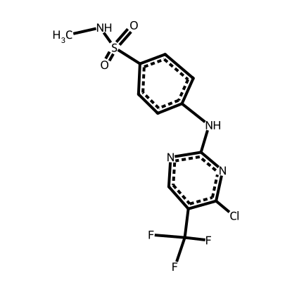 CNS(=O)(=O)c1ccc(Nc2ncc(C(F)(F)F)c(Cl)n2)cc1